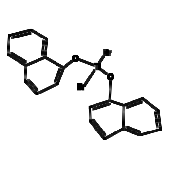 [Br][Ti]([Br])([O]c1cccc2ccccc12)[O]c1cccc2ccccc12